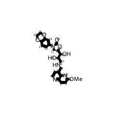 COc1ccc2nccc(CNC[C@@H](O)[C@H](O)[C@H]3CN(c4ccc5c(c4)OCCO5)C(=O)O3)c2n1